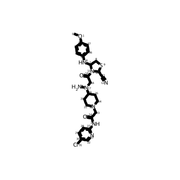 COc1ccc(NC2CSC(C#N)N2C(=O)CN(N)C2CCN(CC(=O)Nc3ccc(Cl)cn3)CC2)cc1